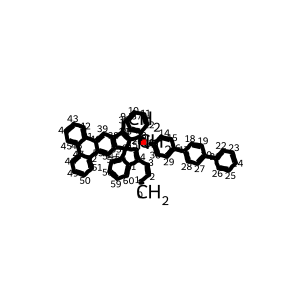 C=C/C=C\C1=C(N(c2ccccc2)c2ccc(-c3ccc(-c4ccccc4)cc3)cc2)C2(C(C=C)=C(C=C)c3cc4c5ccccc5c5ccccc5c4cc32)c2ccccc21